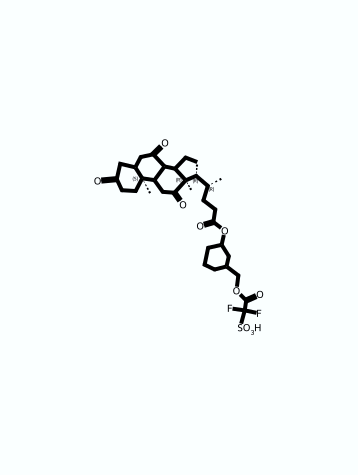 C[C@H](CCC(=O)OC1CCCC(COC(=O)C(F)(F)S(=O)(=O)O)C1)[C@H]1CCC2C3C(=O)CC4CC(=O)CC[C@]4(C)C3CC(=O)[C@@]21C